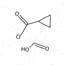 O=C(Cl)C1CC1.O=CO